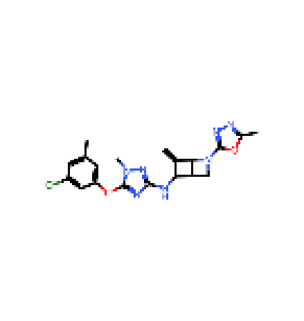 C=C1C(Nc2nc(Oc3cc(C)cc(Cl)c3)n(C)n2)C2CN(c3nnc(C)o3)C12